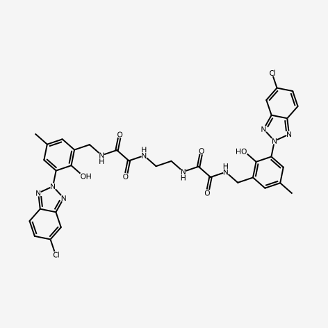 Cc1cc(CNC(=O)C(=O)NCCNC(=O)C(=O)NCc2cc(C)cc(-n3nc4ccc(Cl)cc4n3)c2O)c(O)c(-n2nc3ccc(Cl)cc3n2)c1